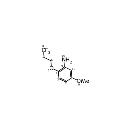 COc1ccc(OCCC(F)(F)F)c(N)c1